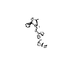 CCOC(=O)CN1CCSC1=O